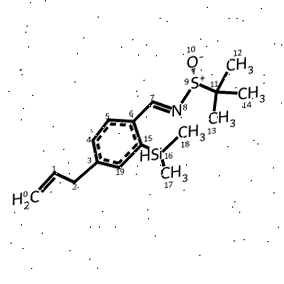 C=CCc1ccc(C=N[S@+]([O-])C(C)(C)C)c([SiH](C)C)c1